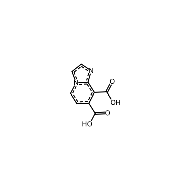 O=C(O)c1ccn2ccnc2c1C(=O)O